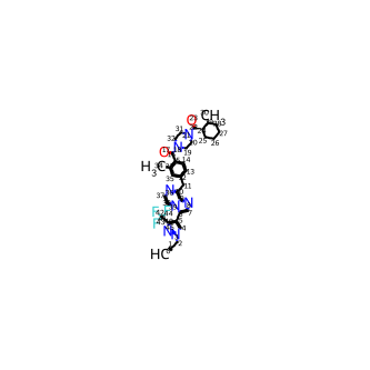 C#CCn1cc(-c2cnc3c(Cc4ccc(C(=O)N5CCN(C(=O)[C@@H]6CCCC[C@@H]6C)CC5)c(C)c4)nccn23)c(C(F)(F)F)n1